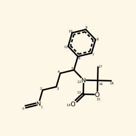 C=NCCCC(c1ccccc1)N1C(=O)OC1(C)C